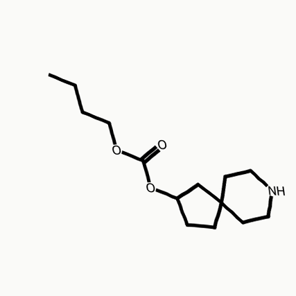 CCCCOC(=O)OC1CCC2(CCNCC2)C1